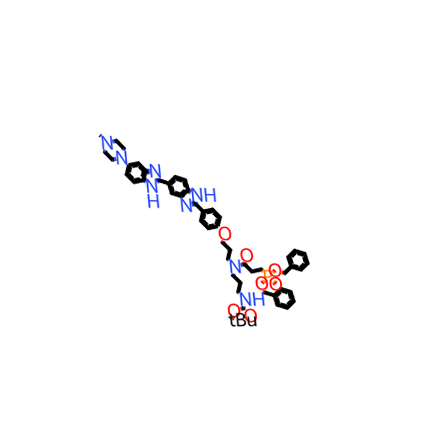 CN1CCN(c2ccc3[nH]c(-c4ccc5[nH]c(-c6ccc(OCCCN(CCCNC(=O)OC(C)(C)C)C(=O)CCP(=O)(OCc7ccccc7)OCc7ccccc7)cc6)nc5c4)nc3c2)CC1